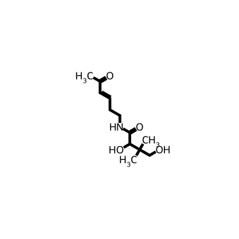 CC(=O)C=CCCNC(=O)C(O)C(C)(C)CO